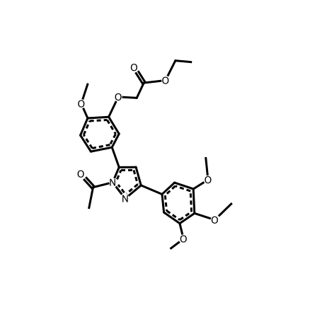 CCOC(=O)COc1cc(-c2cc(-c3cc(OC)c(OC)c(OC)c3)nn2C(C)=O)ccc1OC